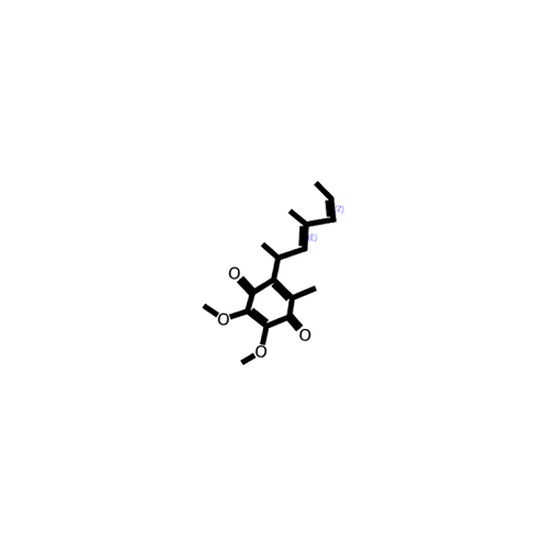 C/C=C\C(C)=C\C(C)C1=C(C)C(=O)C(OC)=C(OC)C1=O